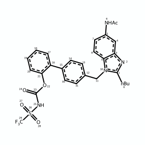 CCCCc1nc2cc(NC(C)=O)ccc2n1Cc1ccc(-c2ccccc2OC(=O)NS(=O)(=O)C(F)(F)F)cc1